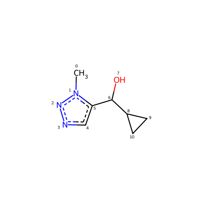 Cn1nncc1C(O)C1CC1